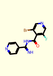 N=C(NC(=O)c1c(F)cncc1Br)c1ccncc1